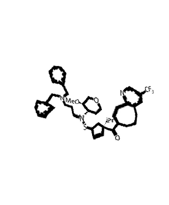 CO[C@@H]1COCC[C@@H]1N(CCCN(Cc1ccccc1)Cc1ccccc1)SC1C=C[C@@](C(=O)C2CCCc3cc(C(F)(F)F)cnc3CC2)(C(C)C)C1